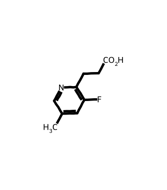 Cc1cnc(CCC(=O)O)c(F)c1